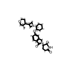 O=C1CCC(N2Cc3cc(O[C@@H]4CCCC[C@H]4N4CC(C5CCOC[C@H]5F)C4)ccc3C2=O)C(=O)N1